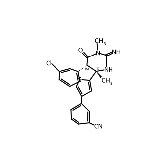 CN1C(=N)N[C@](C)(c2cc(-c3cccc(C#N)c3)cs2)[C@H](c2cccc(Cl)c2)C1=O